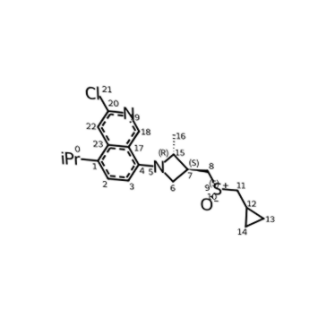 CC(C)c1ccc(N2C[C@H](C[S@+]([O-])CC3CC3)[C@H]2C)c2cnc(Cl)cc12